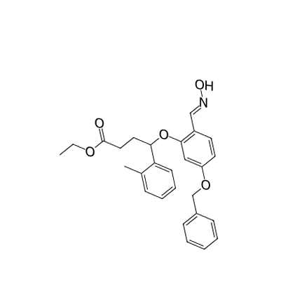 CCOC(=O)CCC(Oc1cc(OCc2ccccc2)ccc1C=NO)c1ccccc1C